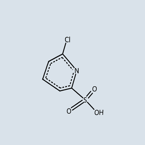 O=S(=O)(O)c1cccc(Cl)n1